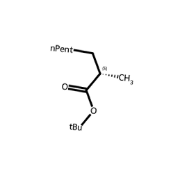 CCCCCC[C@H](C)C(=O)OC(C)(C)C